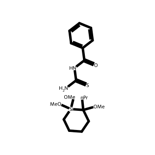 CCCC1(OC)CCCC[Si]1(OC)OC.NC(=S)NC(=O)c1ccccc1